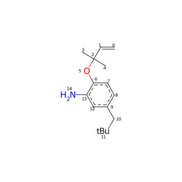 C=CC(C)(C)Oc1ccc(CC(C)(C)C)cc1N